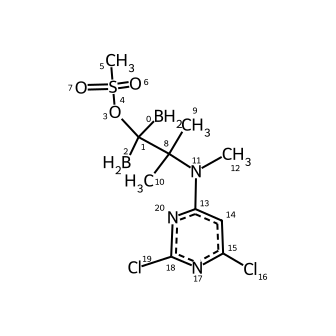 BC(B)(OS(C)(=O)=O)C(C)(C)N(C)c1cc(Cl)nc(Cl)n1